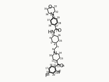 O=C(NC1CCC(CCN2CCC(C(=O)c3ccc(F)cc3F)CC2)CC1)c1ccc(N2CCOCC2)cc1